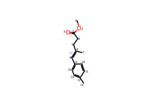 COC(=O)CC/C(C)=C/c1ccc(C)cc1